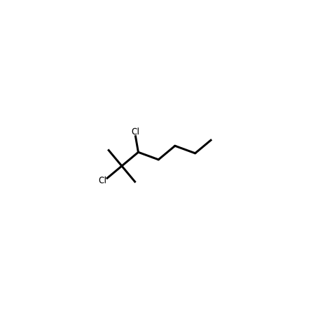 CCCCC(Cl)C(C)(C)Cl